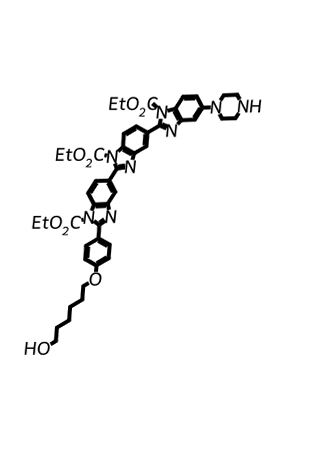 CCOC(=O)n1c(-c2ccc(OCCCCCCO)cc2)nc2cc(-c3nc4cc(-c5nc6cc(N7CCNCC7)ccc6n5C(=O)OCC)ccc4n3C(=O)OCC)ccc21